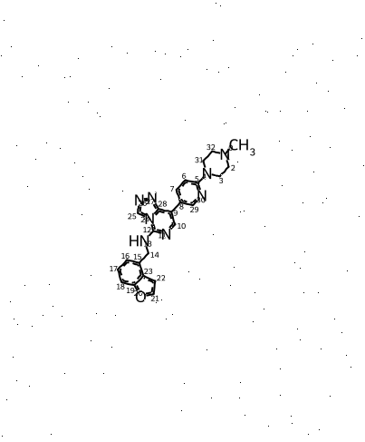 CN1CCN(c2ccc(-c3cnc(NCc4cccc5occc45)n4cnnc34)cn2)CC1